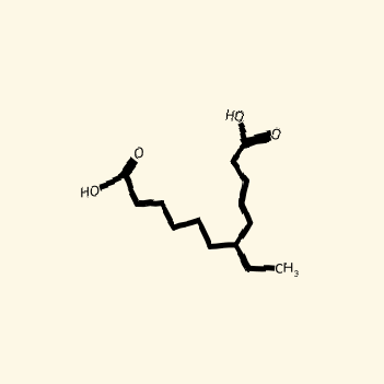 CCC(CCCCCC(=O)O)CCCCC(=O)O